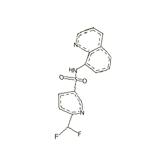 O=S(=O)(Nc1cccc2cccnc12)c1ccc(C(F)F)nc1